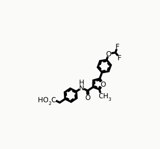 Cc1oc(-c2ccc(OC(F)F)cc2)cc1C(=O)Nc1ccc(CC(=O)O)cc1